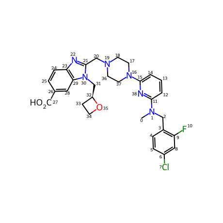 CN(Cc1ccc(Cl)cc1F)c1cccc(N2CCN(Cc3nc4ccc(C(=O)O)cc4n3C[C@@H]3CCO3)CC2)n1